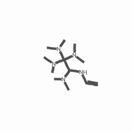 C=CNC(N(C)C)C(N(C)C)(N(C)C)N(C)C